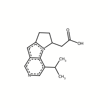 CC(C)c1cncc2cc3n(c12)C(CC(=O)O)CC3